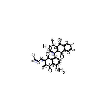 C=C1C(=O)c2c(N)ccc(/C(=C/C)C3=C(C(C)N)C(=O)c4ccccc4C3=O)c2C(=O)/C1=C/C=C\C